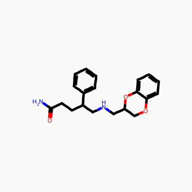 NC(=O)CCC(CNCC1COc2ccccc2O1)c1ccccc1